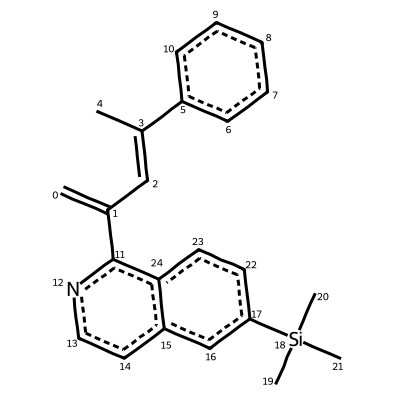 C=C(/C=C(\C)c1ccccc1)c1nccc2cc([Si](C)(C)C)ccc12